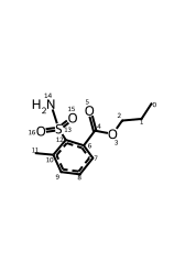 CCCOC(=O)c1cccc(C)c1S(N)(=O)=O